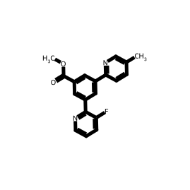 COC(=O)c1cc(-c2ccc(C)cn2)cc(-c2ncccc2F)c1